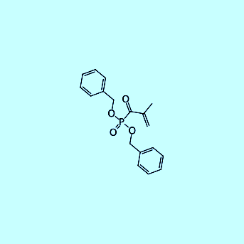 C=C(C)C(=O)P(=O)(OCc1ccccc1)OCc1ccccc1